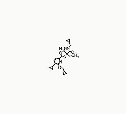 CCC(CC)(NC(=O)c1ccc(C2CC2)c(OCC2CC2)n1)C(=O)NCC1CC1